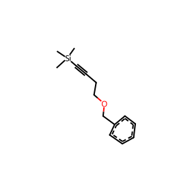 C[Si](C)(C)C#CCCOCc1ccccc1